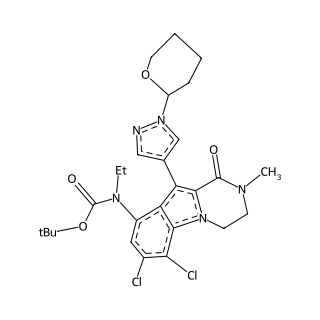 CCN(C(=O)OC(C)(C)C)c1cc(Cl)c(Cl)c2c1c(-c1cnn(C3CCCCO3)c1)c1n2CCN(C)C1=O